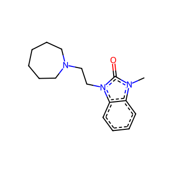 Cn1c(=O)n(CCN2CCCCCC2)c2ccccc21